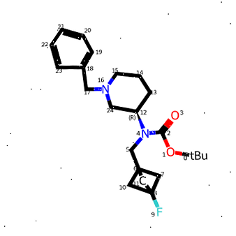 CC(C)(C)OC(=O)N(CC12CC(F)(C1)C2)[C@@H]1CCCN(Cc2ccccc2)C1